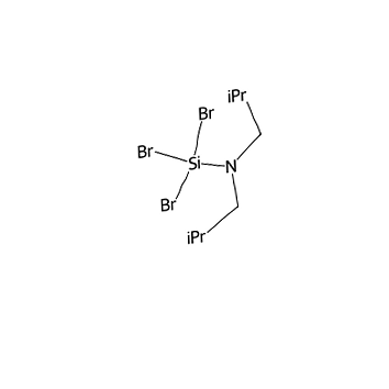 CC(C)CN(CC(C)C)[Si](Br)(Br)Br